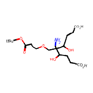 CC(C)(C)OC(=O)CCOCC(N)(C(O)CCC(=O)O)C(O)CCC(=O)O